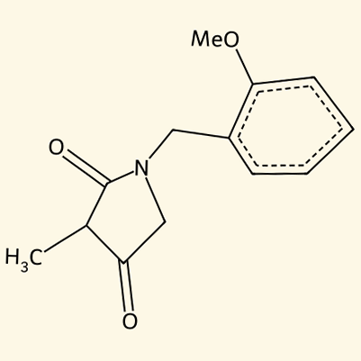 COc1ccccc1CN1CC(=O)C(C)C1=O